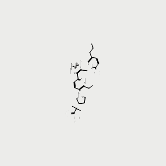 CCCc1ccc(=O)n(Cc2c(-c3ccc(N4CC[C@@H](C(C)(C)C(=O)OC)C4)c(CC)n3)nnn2C)c1